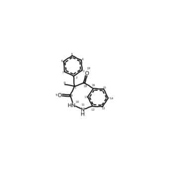 CC1(c2ccccc2)C(=O)NNc2c[c]cc(c2)C1=O